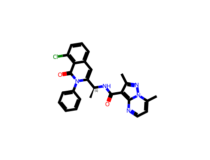 Cc1nn2c(C)ccnc2c1C(=O)N[C@@H](C)c1cc2cccc(Cl)c2c(=O)n1-c1ccccc1